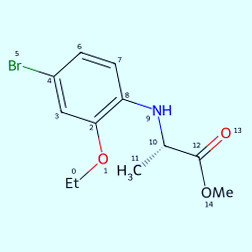 CCOc1cc(Br)ccc1N[C@@H](C)C(=O)OC